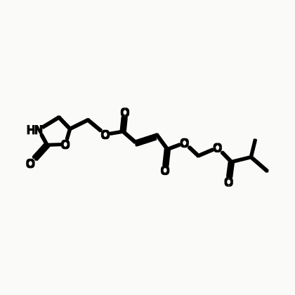 CC(C)C(=O)OCOC(=O)C=CC(=O)OCC1CNC(=O)O1